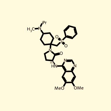 COc1cc2ncnc(N[C@H]3CCN(C4(CS(=O)(=O)c5ccccc5)CCC(N(C)C(C)C)CC4)C3=O)c2cc1OC